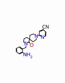 N#Cc1ccnc(N2CCC3(CCCN(Cc4ccccc4N)C3=O)CC2)c1